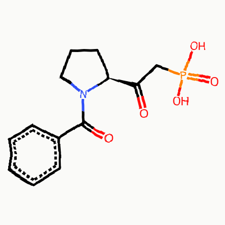 O=C(CP(=O)(O)O)[C@@H]1CCCN1C(=O)c1ccccc1